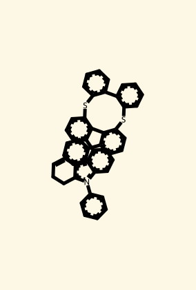 C1=Cc2c(n(-c3ccccc3)c3cccc(-c4cccc5c4-c4c(cccc4-c4ccccc4)Sc4ccccc4-c4ccccc4S5)c23)CC1